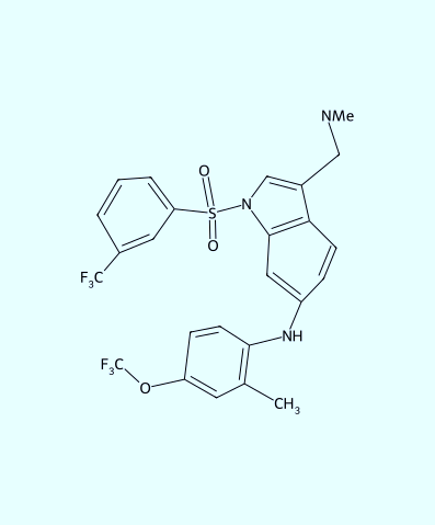 CNCc1cn(S(=O)(=O)c2cccc(C(F)(F)F)c2)c2cc(Nc3ccc(OC(F)(F)F)cc3C)ccc12